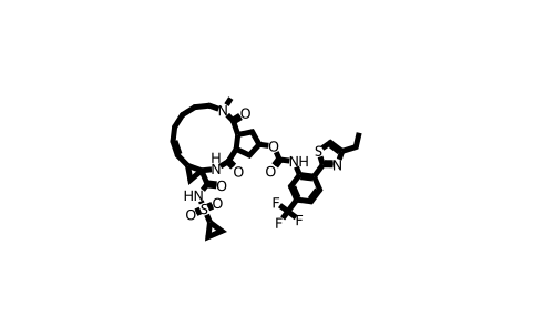 CCc1csc(-c2ccc(C(F)(F)F)cc2NC(=O)OC2CC3C(=O)NC4(C(=O)NS(=O)(=O)C5CC5)CC4/C=C\CCCCN(C)C(=O)C3C2)n1